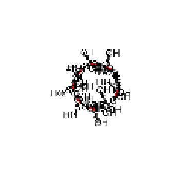 OCCSCC1OC2OC3C(CSCCO)OC(OC4C(CSCCO)OC(OC5C(CSCCO)OC(OC6C(CSCCO)OC(OC7C(CSCCO)OC(OC8C(CSCCO)OC(OC9C(CSCCO)OC(OCCCCC1C(O)C2O)C(O)C9O)C(O)C8O)C(O)C7O)C(O)C6O)C(O)C5O)C(O)C4O)C(O)C3O